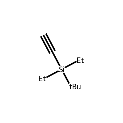 C#C[Si](CC)(CC)C(C)(C)C